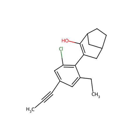 CC#Cc1cc(Cl)c(C2=C(O)C3CCC(C2)C3)c(CC)c1